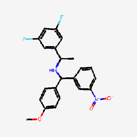 COc1ccc(C(N[C@H](C)c2cc(F)cc(F)c2)c2cccc([N+](=O)[O-])c2)cc1